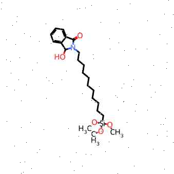 CO[Si](CCCCCCCCCCCN1C(=O)c2ccccc2C1O)(OC)OC